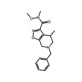 CON(C)C(=O)c1noc2c1C(C)CN(Cc1ccccc1)C2